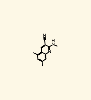 CNc1nc2cc(C)cc(C)c2cc1C#N